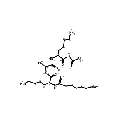 CCCCCCCCCCCCCCCC(=O)N[C@@H](CCCCN)C(=O)N[C@H](C(=O)N[C@@H](CCCCN)C(=O)OC(=O)C(F)(F)F)C(C)C